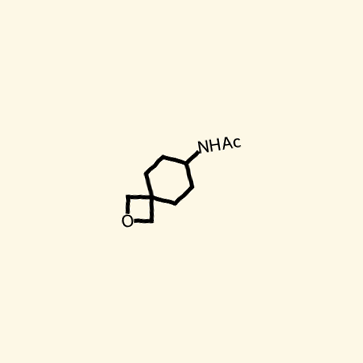 CC(=O)NC1CCC2(CC1)COC2